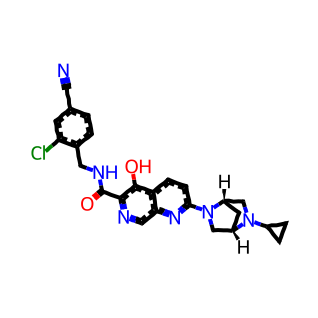 N#Cc1ccc(CNC(=O)c2ncc3nc(N4C[C@@H]5C[C@H]4CN5C4CC4)ccc3c2O)c(Cl)c1